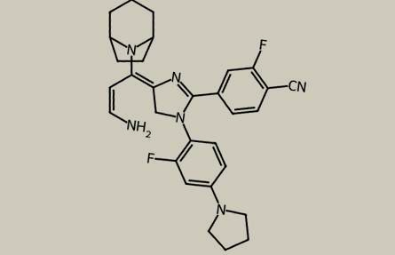 N#Cc1ccc(C2=N/C(=C(/C=C\N)N3C4CCCC3CC4)CN2c2ccc(N3CCCC3)cc2F)cc1F